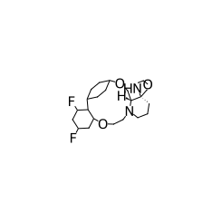 FC1CC(F)C2C3CCC(CC3)OC[C@H]3N(CCC[C@]34COCCN4)CCOC2C1